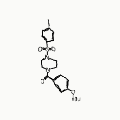 CCCCOc1ccc(C(=O)N2CCN(S(=O)(=O)c3ccc(C)cc3)CC2)cc1